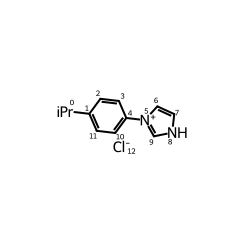 CC(C)c1ccc(-[n+]2cc[nH]c2)cc1.[Cl-]